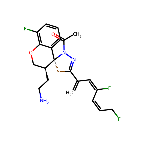 C=C(/C=C(F)\C=C/CF)C1=NN(C(C)=O)[C@]2(S1)c1cccc(F)c1OC[C@@H]2CCN